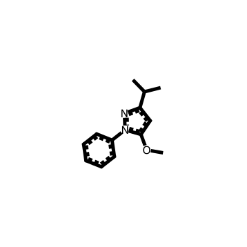 COc1cc(C(C)C)nn1-c1ccccc1